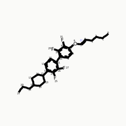 CCCC/C=C/Oc1ccc(-c2ccc(C3CCC(CCC)CC3)c(F)c2F)c(F)c1F